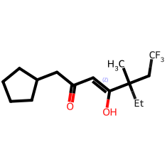 CCC(C)(CC(F)(F)F)/C(O)=C/C(=O)CC1CCCC1